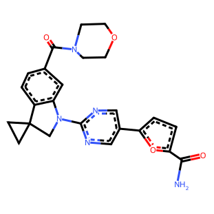 NC(=O)c1ccc(-c2cnc(N3CC4(CC4)c4ccc(C(=O)N5CCOCC5)cc43)nc2)o1